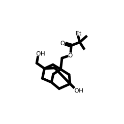 CCC(C)(C)C(=O)OCC12CC3CC(O)(CC(CO)(C3)C1)C2